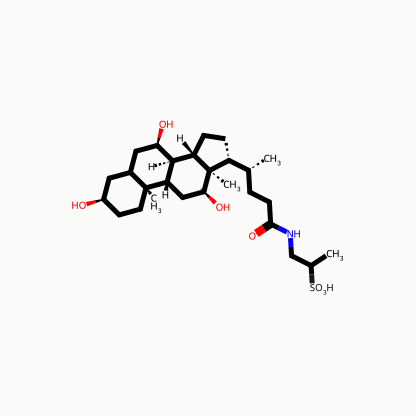 CC(CNC(=O)CC[C@@H](C)[C@H]1CC[C@H]2[C@@H]3[C@H](O)CC4C[C@H](O)CC[C@]4(C)[C@H]3C[C@H](O)[C@]12C)S(=O)(=O)O